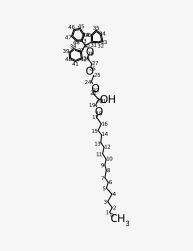 CCCCCCCCCCCCCCCCCCOCC(O)COCCOCCOC(c1ccccc1)(c1ccccc1)c1ccccc1